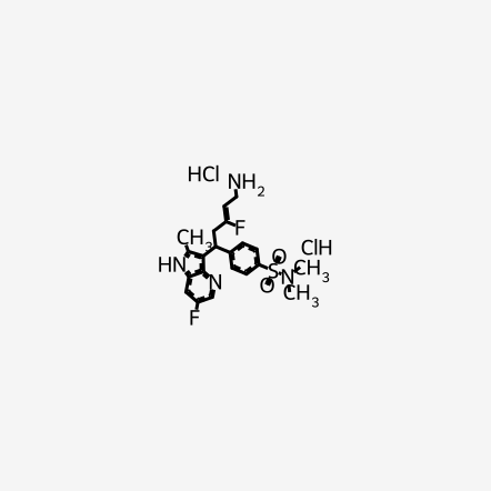 Cc1[nH]c2cc(F)cnc2c1C(C/C(F)=C/CN)c1ccc(S(=O)(=O)N(C)C)cc1.Cl.Cl